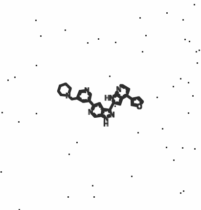 c1cc(-c2ccoc2)c2cc(-c3n[nH]c4cnc(-c5cncc(CN6CCCCC6)c5)cc34)[nH]c2n1